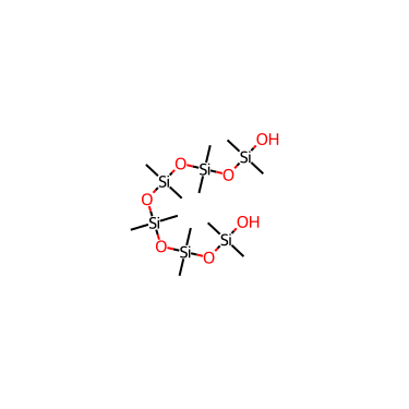 C[Si](C)(O)O[Si](C)(C)O[Si](C)(C)O[Si](C)(C)O[Si](C)(C)O[Si](C)(C)O